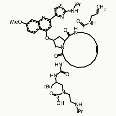 C=CCNC(=O)[C@@H]1CC/C=C\CCCCC[C@H](NC(=O)NC(CN(CCNC(C)C)S(=O)O)C(C)(C)C)C(=O)N2CC(Oc3cc(-c4csc(NC(C)C)n4)nc4cc(OC)ccc34)CC2C(=O)N1